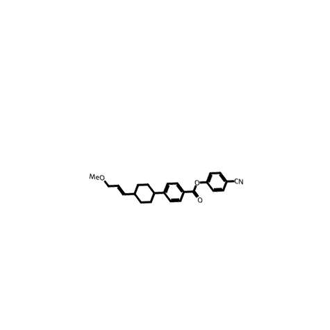 COCC=CC1CCC(c2ccc(C(=O)Oc3ccc(C#N)cc3)cc2)CC1